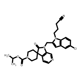 CC(C)OC(=O)N1CCC2(CC1)C(=O)N(Cc1cc3cc(Cl)ccc3n1CCCC#N)c1cnccc12